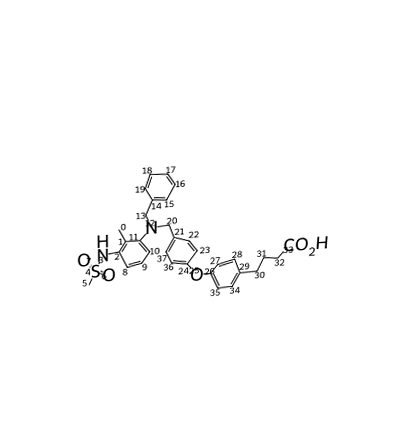 Cc1c(NS(C)(=O)=O)cccc1N(Cc1ccccc1)Cc1ccc(Oc2ccc(CCCC(=O)O)cc2)cc1